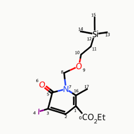 CCOC(=O)c1cc(I)c(=O)n(COCC[Si](C)(C)C)c1C